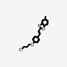 Cc1ccc2oc(/C=C/c3ccc(OCCCCl)cc3)nc2c1